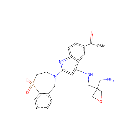 COC(=O)c1ccc2nc(N3CCS(=O)(=O)c4ccccc4C3)cc(NCC3(CN)COC3)c2c1